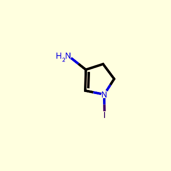 NC1=CN(I)CC1